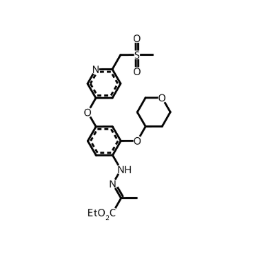 CCOC(=O)/C(C)=N/Nc1ccc(Oc2ccc(CS(C)(=O)=O)nc2)cc1OC1CCOCC1